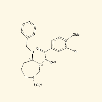 CCC(C)c1cc(C(=O)N(OC)[C@@H]2CN(C(=O)O)CCC[C@H]2OCc2ccccc2)ccc1OC